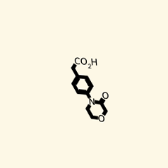 O=C(O)Cc1ccc(N2CCOCC2=O)cc1